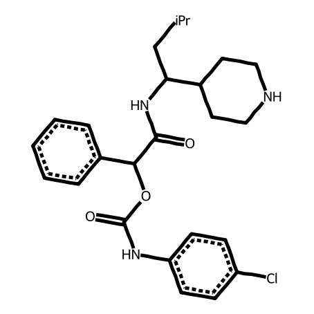 CC(C)CC(NC(=O)C(OC(=O)Nc1ccc(Cl)cc1)c1ccccc1)C1CCNCC1